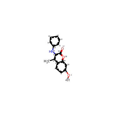 CCOc1ccc2c(C)c(Nc3ccccc3)c(=O)oc2c1